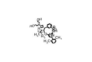 Cc1cccc(C)c1-c1cc2nc(n1)NS(=O)(=O)c1cccc(c1)C([C@H]1C[C@@H](N(CCO)CCO)C1)[C@H](CC(C)(C)C)CO2